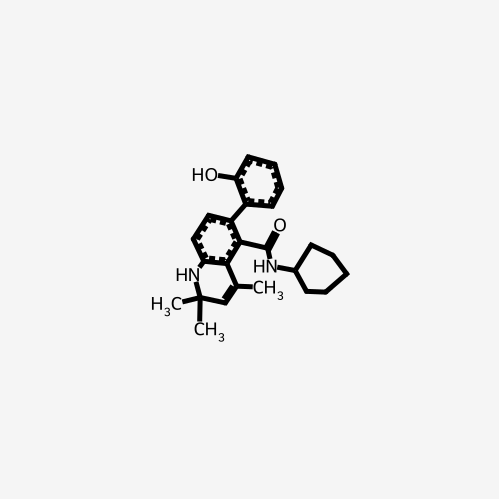 CC1=CC(C)(C)Nc2ccc(-c3ccccc3O)c(C(=O)NC3CCCCC3)c21